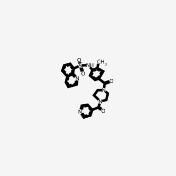 Cc1cc(C(=O)N2CCN(C(=O)c3ccncc3)CC2)ccc1NS(=O)(=O)c1cccc2cccnc12